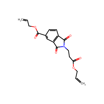 C=CCOC(=O)CCN1C(=O)c2ccc(C(=O)OCC=C)cc2C1=O